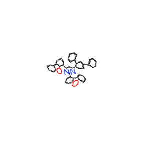 c1ccc(-c2ccc(-c3cc(-c4cccc5c4oc4ccccc45)nc(-c4cccc5oc6ccccc6c45)n3)c(-c3ccccc3)c2)cc1